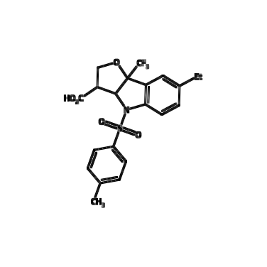 CCc1ccc2c(c1)C1(C(F)(F)F)OCC(C(=O)O)C1N2S(=O)(=O)c1ccc(C)cc1